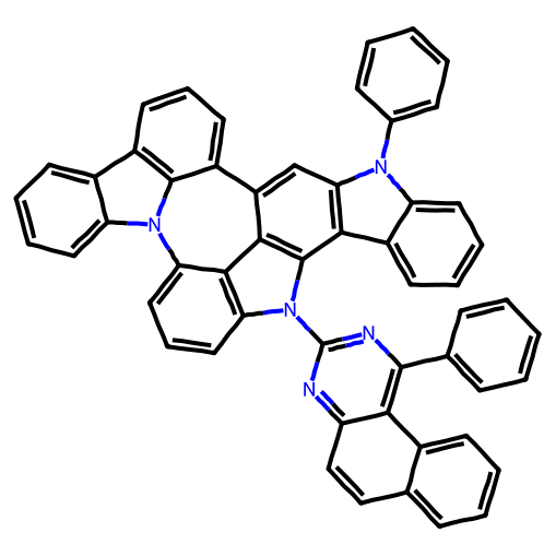 c1ccc(-c2nc(-n3c4cccc5c4c4c(cc6c(c7ccccc7n6-c6ccccc6)c43)c3cccc4c6ccccc6n5c34)nc3ccc4ccccc4c23)cc1